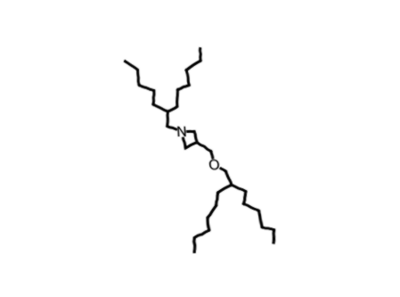 CCCCCCC(CCCCCC)COCC1CN(CC(CCCCC)CCCCCC)C1